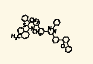 CN1c2c(-c3cccc(-c4cc(-c5cccc(-c6cccc7c6oc6ccccc67)c5)nc(-c5ccccc5)n4)c3)cccc2C2(C)c3ccccc3SC2C1C1=C2C=CC=CC2(C)CC=CC1